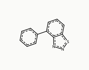 c1ccc(-c2cccc3snnc23)cc1